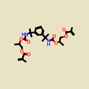 C=C(C)C(=O)OCC(C)OC(=O)NC(C)(C)c1cccc(C(C)(C)NC(=O)OC(C)COC(=O)C(=C)C)c1